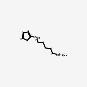 CCCCCCCCCCC[CH2][Mn][C]1=CC=CC1